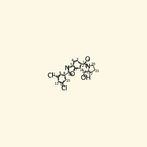 O=C(c1ccc2nc(-c3cc(Cl)cc(Cl)c3)oc2c1)N1CCCC1CO